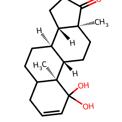 C[C@@]12C(CC=CC1(O)O)CC[C@@H]1[C@@H]2CC[C@]2(C)C(=O)CC[C@@H]12